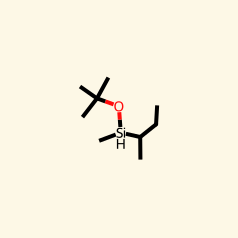 CCC(C)[SiH](C)OC(C)(C)C